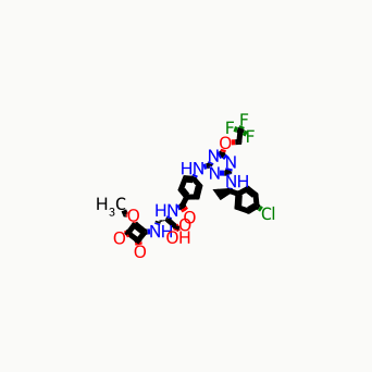 CCOc1c(NC[C@H](NC(=O)c2ccc(Nc3nc(NC4(c5ccc(Cl)cc5)CC4)nc(OCC(F)(F)F)n3)cc2)C(=O)O)c(=O)c1=O